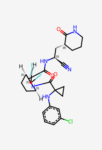 N#C[C@H](C[C@H]1CCCNC1=O)NC(=O)[C@@H]1[C@@H]2CC[C@@H](CC2(F)F)N1C(=O)C1(Nc2cccc(Cl)c2)CC1